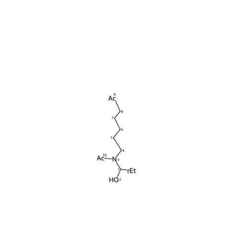 CCC(O)N(CCCCCC(C)=O)C(C)=O